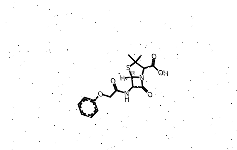 CC1(C)S[C@H]2C(NC(=O)COc3ccccc3)C(=O)N2C1C(=O)O